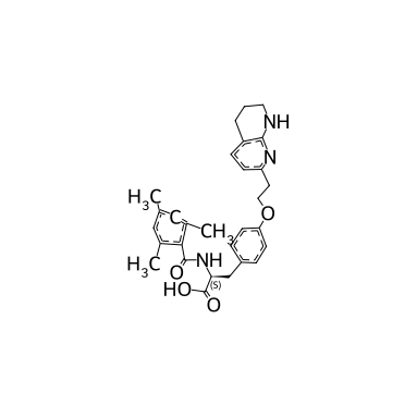 Cc1cc(C)c(C(=O)N[C@@H](Cc2ccc(OCCc3ccc4c(n3)NCCC4)cc2)C(=O)O)c(C)c1